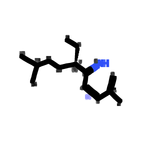 C=C(C)/C=C\C(=N)[C@@H](CC)CCC(C)C